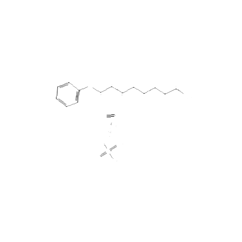 C=C.CCCCCCCCCOc1ccccc1.N.N.O=S(=O)(O)O